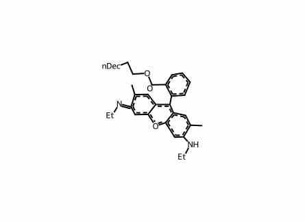 CCCCCCCCCCCCOC(=O)c1ccccc1-c1c2cc(C)/c(=N/CC)cc-2oc2cc(NCC)c(C)cc12